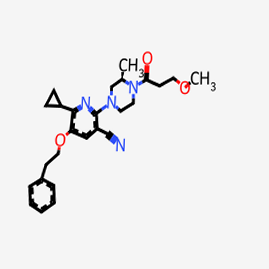 COCCC(=O)N1CCN(c2nc(C3CC3)c(OCCc3ccccc3)cc2C#N)C[C@H]1C